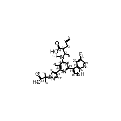 C=CCC(C(=O)O)C(C)N(I)c1nc(-c2c[nH]c3ncc(F)cc23)nc(-c2cnn(C(C)(C)C(=O)O)c2)c1C